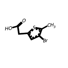 Cc1sc(CC(=O)O)cc1Br